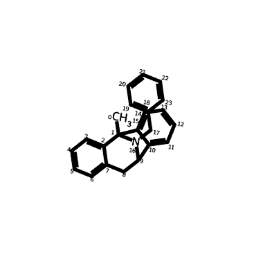 CC12c3ccccc3CC(c3ccccc31)N2Cc1ccccc1